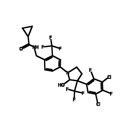 O=C(NCc1ccc(N2CCC(c3cc(Cl)c(F)c(Cl)c3F)(C(F)(F)F)C2O)cc1C(F)(F)F)C1CC1